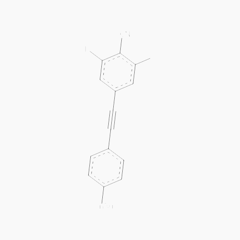 CCCCc1ccc(C#Cc2cc(F)c(C#N)c(F)c2)cc1